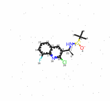 C[C@H](N[S+]([O-])C(C)(C)C)c1cc2cccc(F)c2nc1Cl